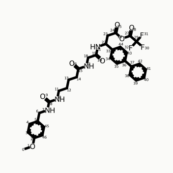 COc1ccc(CNC(=O)NCCCCC(=O)NCC(=O)NC(CC(=O)OC(=O)C(F)(F)F)c2ccc(-c3ccccc3)cc2)cc1